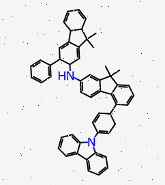 CC1(C)c2cc(NC3C=C4C(=CC3c3ccccc3)C3C=CC=CC3C4(C)C)ccc2-c2c(C3C=CC(n4c5ccccc5c5ccccc54)=CC3)cccc21